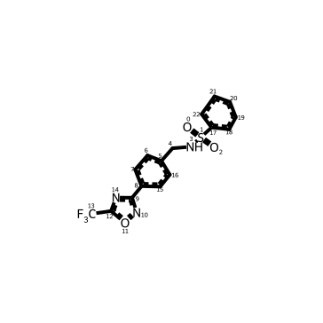 O=S(=O)(NCc1ccc(-c2noc(C(F)(F)F)n2)cc1)c1ccccc1